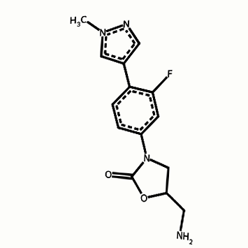 Cn1cc(-c2ccc(N3CC(CN)OC3=O)cc2F)cn1